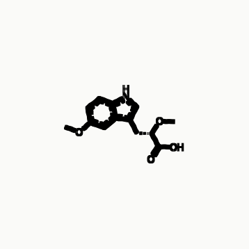 COc1ccc2[nH]cc(C[C@H](OC)C(=O)O)c2c1